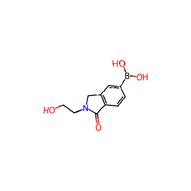 O=C1c2ccc(B(O)O)cc2CN1CCO